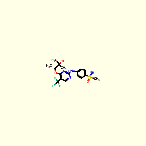 C[C@@H](Oc1nc(Nc2ccc(S(C)(=N)=O)cc2)ncc1C(F)(F)F)C(C)(C)O